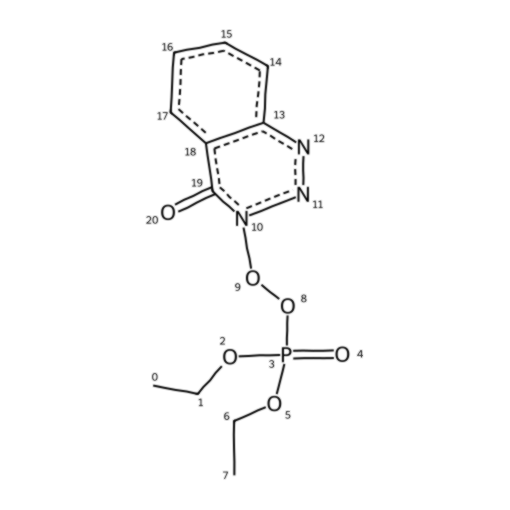 CCOP(=O)(OCC)OOn1nnc2ccccc2c1=O